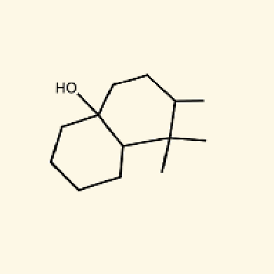 CC1CCC2(O)CCCCC2C1(C)C